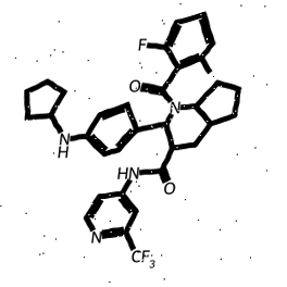 Cc1cccc(F)c1C(=O)N1C2CCCC2CC(C(=O)Nc2ccnc(C(F)(F)F)c2)C1c1ccc(NC2CCCC2)cc1